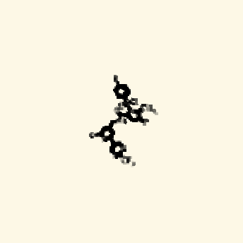 CC1C(F)CC(C(=O)NCc2cc(Cl)nc(-c3cnc(C(F)(F)F)nc3)c2)N1S(=O)(=O)c1ccc(F)cc1